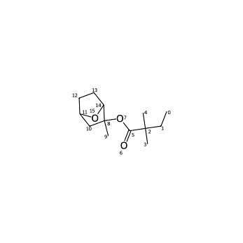 CCC(C)(C)C(=O)OC1(C)CC2CCC1O2